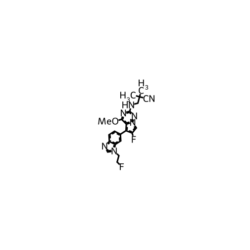 COc1nc(NCC(C)(C)C#N)nn2cc(F)c(-c3ccc4ncn(CCF)c4c3)c12